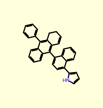 C1=Cc2c(c(-c3ccccc3)c3ccccc3c2-c2ccc(-c3ccc[nH]3)c3ccccc23)CC1